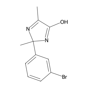 CC1=NC(C)(c2cccc(Br)c2)N=C1O